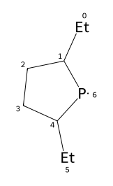 CCC1CCC(CC)[P]1